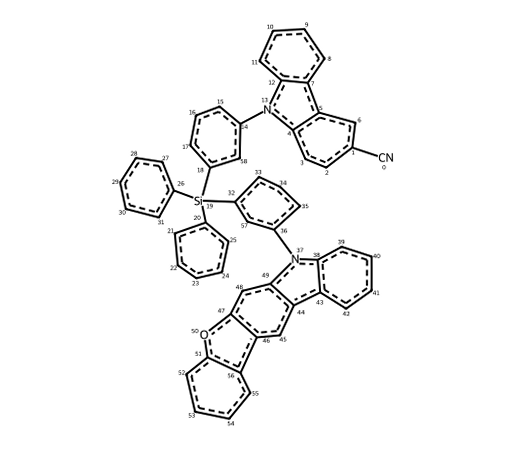 N#Cc1ccc2c(c1)c1ccccc1n2-c1cccc([Si](c2ccccc2)(c2ccccc2)c2cccc(-n3c4ccccc4c4cc5c(cc43)oc3ccccc35)c2)c1